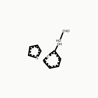 O=CO.Oc1ccccc1.c1ccsc1